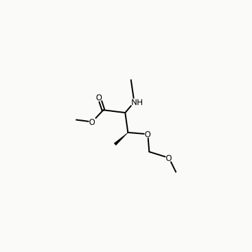 CNC(C(=O)OC)[C@H](C)OCOC